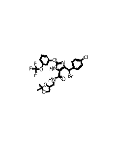 CC1(C)OCC(CNC(=O)c2[nH]c(Oc3cccc(OC(F)(F)F)c3)nc2C(Br)c2ccc(Cl)cc2)O1